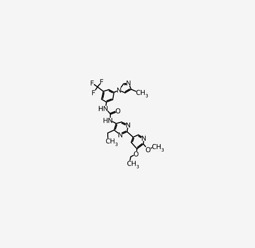 CCOc1cc(-c2ncc(NC(=O)Nc3cc(-n4cnc(C)c4)cc(C(F)(F)F)c3)c(CC)n2)cnc1OC